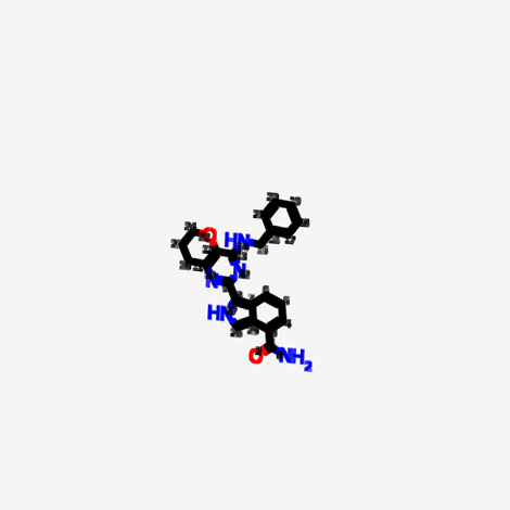 NC(=O)c1cccc2c(-c3nc4c(c(NCc5ccccc5)n3)OCCC4)[nH]cc12